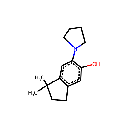 CC1(C)CCc2cc(O)c(N3CCCC3)cc21